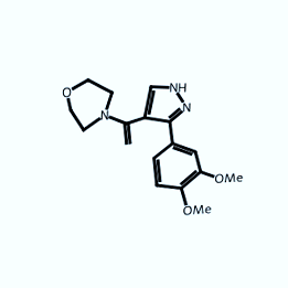 C=C(c1c[nH]nc1-c1ccc(OC)c(OC)c1)N1CCOCC1